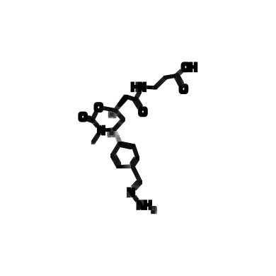 CN1C(=O)O[C@@H](CC(=O)NCCC(=O)O)C[C@@H]1c1ccc(C=NN)cc1